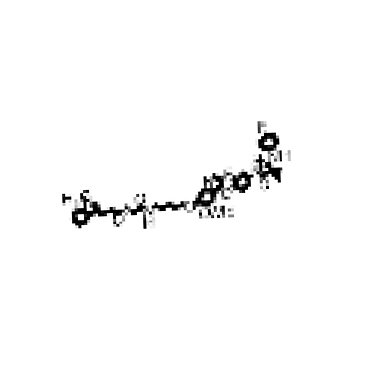 COc1cc2c(Oc3ccc(NC(=O)C4(C(=O)Nc5ccc(F)cc5)CC4)cc3F)ccnc2cc1OCCCCCNC(=O)CSC(=O)CCc1cn(C)c2ccccc12